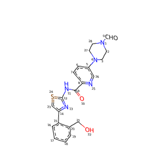 O=CN1CCN(c2ccc(C(=O)Nc3nc(-c4ccccc4CO)cs3)nc2)CC1